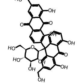 O=C1c2cc(CO)cc(O)c2C(=O)c2c1ccc(C1([C@@H]3O[C@H](CO)[C@@H](O)[C@H](O)[C@H]3O)c3cccc(O)c3C(=O)c3c(O)cc(CO)cc31)c2O